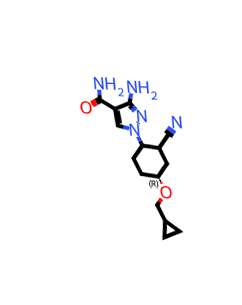 N#CC1C[C@H](OCC2CC2)CCC1n1cc(C(N)=O)c(N)n1